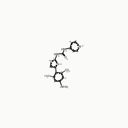 CC(=O)Nc1cc(C)c(-c2csc(NC(=O)Nc3ccncc3)n2)c(C)c1